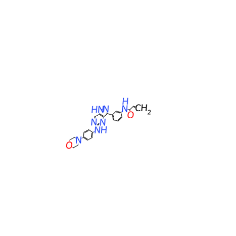 C=CC(=O)Nc1cccc(-c2n[nH]c3cnc(Nc4ccc(N5CCOCC5)cc4)nc23)c1